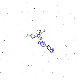 Cc1cc2nc(-c3nccc(-c4ccc5c(cnn5C)c4)n3)sc2c(-c2ccc(Cl)cc2)c1CC(=O)O